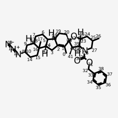 CC1=C2C[C@H]3C(CC[C@@H]4C[C@H](N=[N+]=[N-])CCC43C)[C@@H]2CC[C@]12O[C@@H]1CC(C)CN(C(=O)OCc3ccccc3)[C@H]1[C@H]2C